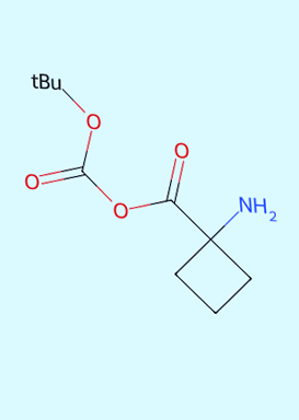 CC(C)(C)OC(=O)OC(=O)C1(N)CCC1